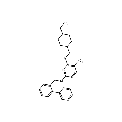 NCC1CCC(CNc2nc(NCc3ccccc3-c3ccccc3)ncc2[N+](=O)[O-])CC1